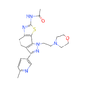 CC(=O)Nc1nc2c(s1)-c1c(c(-c3ccc(C)nc3)nn1CCN1CCOCC1)CC2